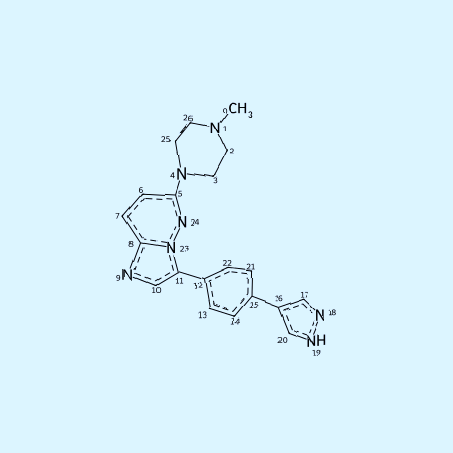 CN1CCN(c2ccc3ncc(-c4ccc(-c5cn[nH]c5)cc4)n3n2)CC1